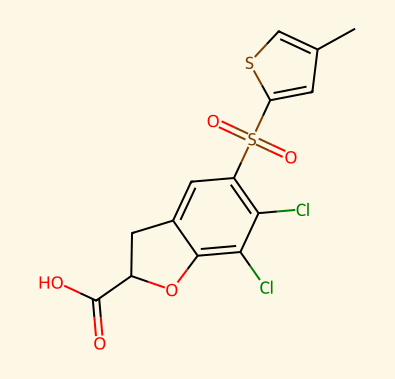 Cc1csc(S(=O)(=O)c2cc3c(c(Cl)c2Cl)OC(C(=O)O)C3)c1